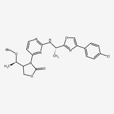 C[C@H](Nc1nccc(N2C(=O)OCC2[C@@H](C)OC(C)(C)C)n1)c1nc(-c2ccc(Cl)cc2)co1